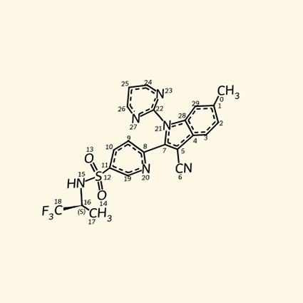 Cc1ccc2c(C#N)c(-c3ccc(S(=O)(=O)N[C@@H](C)C(F)(F)F)cn3)n(-c3ncccn3)c2c1